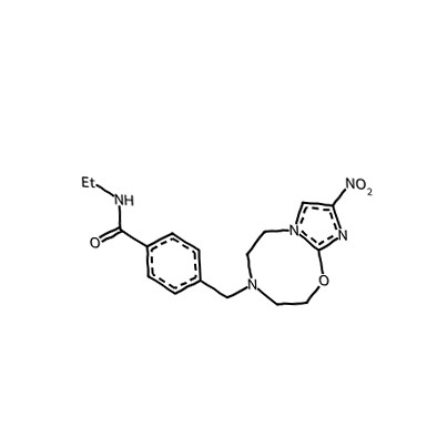 CCNC(=O)c1ccc(CN2CCOc3nc([N+](=O)[O-])cn3CC2)cc1